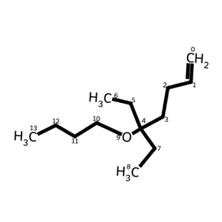 C=CCCC(CC)(CC)OCCCC